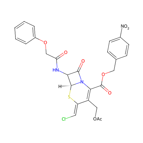 CC(=O)OCC1=C(C(=O)OCc2ccc([N+](=O)[O-])cc2)N2C(=O)C(NC(=O)COc3ccccc3)[C@@H]2SC1=CCl